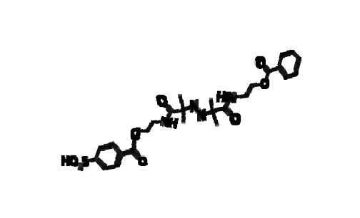 CC(C)(N=NC(C)(C)C(=O)NCCOC(=O)c1ccc(S(=O)(=O)O)cc1)C(=O)NCCOC(=O)c1ccccc1